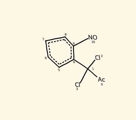 CC(=O)C(Cl)(Cl)c1ccccc1N=O